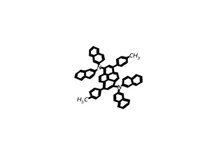 Cc1ccc(-c2cc(N(c3ccc4ccccc4c3)c3ccc4ccccc4c3)c3ccc4c(-c5ccc(C)cc5)cc(N(c5ccc6ccccc6c5)c5ccc6ccccc6c5)c5ccc2c3c45)cc1